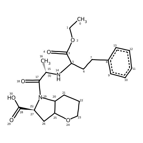 CCOC(=O)C(CCc1ccccc1)N[C@@H](C)C(=O)N1C2CCCOC2C[C@H]1C(=O)O